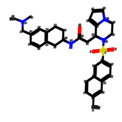 COc1ccc2cc(S(=O)(=O)N3CCn4cccc4C3CC(=O)NC3CCc4cc(CN(C)C(C)(C)C)ccc4C3)ccc2c1